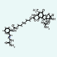 COC12[C@H](CC(N)=O)C3=C(C(=O)C(C)=C(NC(=O)OCCSSCCOC(=O)Nc4cccnc4/C=N/NC(N)=S)C3=O)N1C[C@@H]1N[C@@H]12